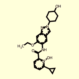 CCOc1cc2nn(C3CCC(O)CC3)cc2cc1NC(=O)c1cccc(C2CC2)[n+]1O